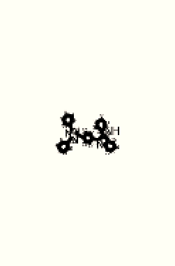 c1ccc(-c2nc(-c3ccccc3)nc(-c3ccc(-c4nc5ccccc5c5[nH]c6ccccc6c45)cc3)n2)cc1